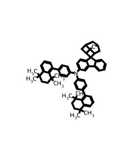 CC1(C)CCC(C)(C)c2c(-c3ccc(N(c4ccc(-c5cccc6c5C(C)(C)CCC6(C)C)cc4)c4ccc5c(c4)-c4ccccc4C54C5CC6CC7CC4C75C6)cc3)cccc21